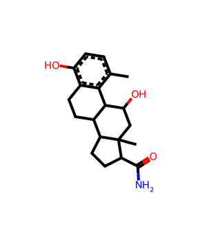 Cc1ccc(O)c2c1C1C(O)CC3(C)C(C(N)=O)CCC3C1CC2